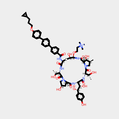 C[C@@H](O)[C@@H]1NC(=O)[C@H]([C@H](O)[C@@H](O)c2ccc(O)cc2)NC(=O)[C@@H]2C[C@@H](O)CN2C(=O)[C@H]([C@@H](C)O)NC(=O)[C@@H](NC(=O)c2ccc(-c3ccc(-c4ccc(OCCCC5CC5)cc4)cc3)cc2)C[C@@H](O)[C@@H](OCC[N+](C)(C)C)NC(=O)[C@@H]2[C@@H](O)[C@@H](C)CN2C1=O